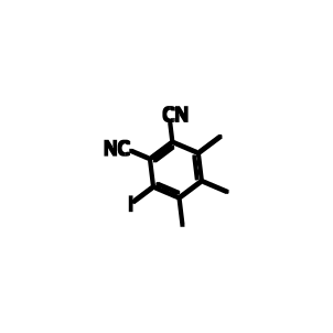 Cc1c(C)c(I)c(C#N)c(C#N)c1C